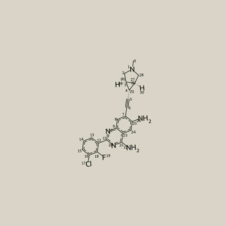 CN1C[C@@H]2[C@@H](C#Cc3cc4nc(-c5cccc(Cl)c5F)nc(N)c4cc3N)[C@@H]2C1